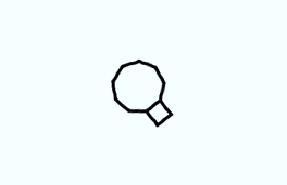 C1CCCC2CCC2CCC1